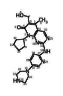 Cc1c(CO)c(=O)n(C2CCCC2)c2nc(Nc3ccc(N4CCNCC4)cn3)ncc12